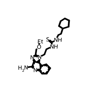 CCOCc1nc2c(N)nc3ccccc3c2n1CCNC(=S)NCCC1CCCCC1